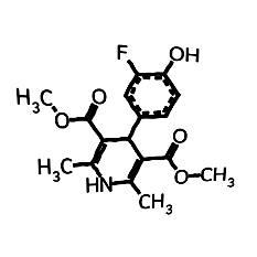 COC(=O)C1=C(C)NC(C)=C(C(=O)OC)C1c1ccc(O)c(F)c1